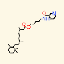 CC(C=CC1=C(C)CCCC1(C)C)=CC=CC(C)=CC(=O)OCCCCCNC(=O)c1cccnc1